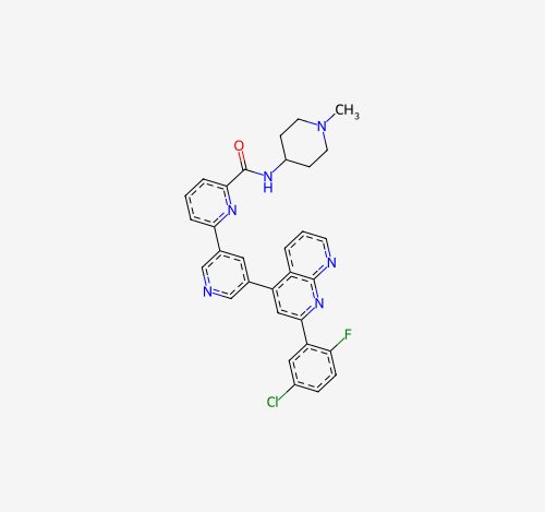 CN1CCC(NC(=O)c2cccc(-c3cncc(-c4cc(-c5cc(Cl)ccc5F)nc5ncccc45)c3)n2)CC1